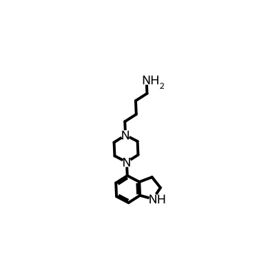 NCCCCN1CCN(c2cccc3c2CCN3)CC1